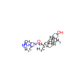 CC(CCC(=O)N1CCN(c2ccnn2C)[C@@H](C)C1)[C@H]1CC[C@H]2[C@@H]3CC=C4C[C@@H](O)CC[C@]4(C)[C@H]3CC[C@]12C